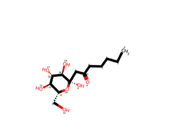 CCCCCC(=O)C[C@@]1(O)O[C@H](CO)[C@@H](O)[C@H](O)[C@H]1O